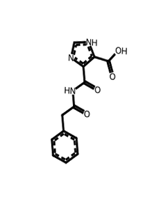 O=C(Cc1ccccc1)NC(=O)c1nc[nH]c1C(=O)O